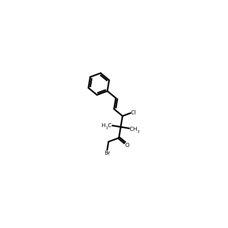 CC(C)(C(=O)CBr)C(Cl)C=Cc1ccccc1